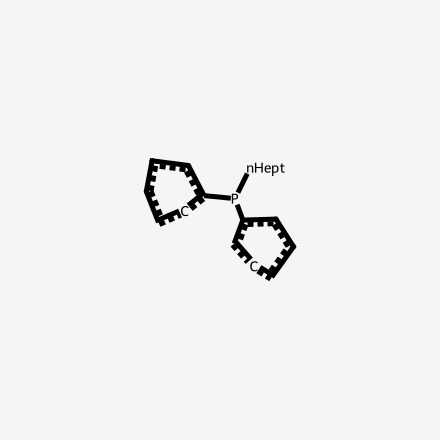 CCCCCCCP(c1ccccc1)c1ccccc1